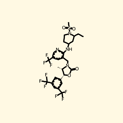 CCC1CC(Nc2ncc(C(F)(F)F)cc2CN2C(=O)O[C@H](c3cc(C(F)(F)F)cc(C(F)(F)F)c3)[C@@H]2C)CCN1S(C)(=O)=O